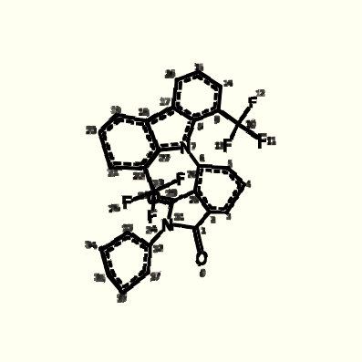 O=C1c2cccc(-n3c4c(C(F)(F)F)cccc4c4cccc(C(F)(F)F)c43)c2C(=O)N1c1ccccc1